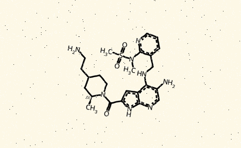 C[C@H]1CC(CCN)CCN1C(=O)c1cc2c(NCc3cccnc3N(C)S(C)(=O)=O)c(N)cnc2[nH]1